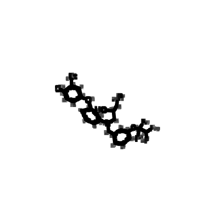 CCc1cc(Oc2cccc(N(Cc3cccc(OC(F)(F)C(F)F)c3)CC(O)CC(C)C)c2)ccc1Cl